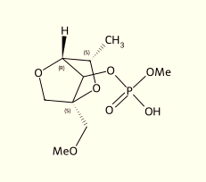 COC[C@]12CO[C@@H](C1OP(=O)(O)OC)[C@H](C)O2